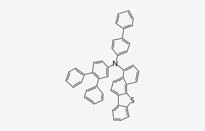 c1ccc(-c2ccc(N(c3ccc(-c4ccccc4)c(-c4ccccc4)c3)c3cccc4c3ccc3c5ccccc5sc43)cc2)cc1